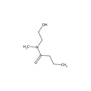 CCCC(=O)N(C)CCO